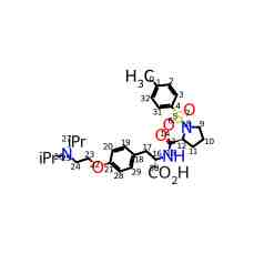 Cc1ccc(S(=O)(=O)N2CCC[C@H]2C(=O)N[C@@H](Cc2ccc(OCCN(C(C)C)C(C)C)cc2)C(=O)O)cc1